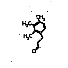 Cc1ccc(CC[C]=O)c(C)c1C